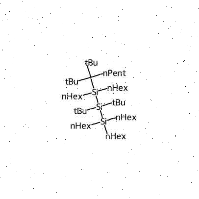 CCCCCC[Si](CCCCCC)(CCCCCC)[Si](C(C)(C)C)(C(C)(C)C)[Si](CCCCCC)(CCCCCC)C(CCCCC)(C(C)(C)C)C(C)(C)C